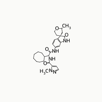 C[C@H]1C[C@@]2(CCO1)C(=O)Nc1cc(NC(=O)C(NC(=O)c3ccnn3C)C3CCCCCCC3)ccc12